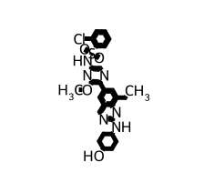 CCc1cc(-c2ncc(NS(=O)(=O)c3ccccc3Cl)nc2OC)cc2cnc(NC3CCC(O)CC3)nc12